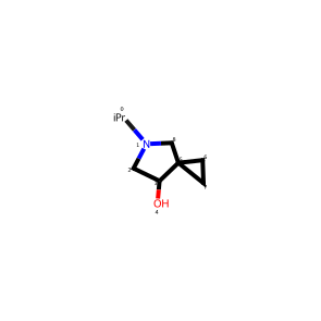 CC(C)N1CC(O)C2(CC2)C1